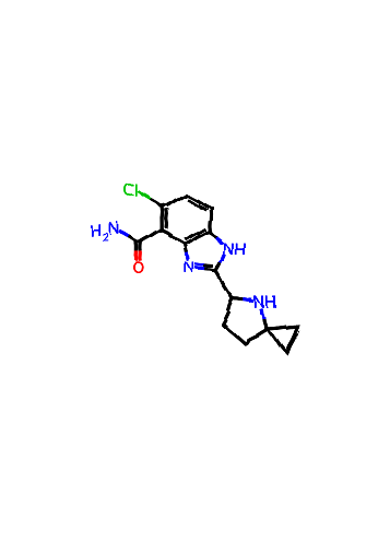 NC(=O)c1c(Cl)ccc2[nH]c(C3CCC4(CC4)N3)nc12